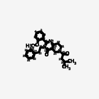 COc1ccccc1-c1nc2c(c(=O)n1CCc1ccccc1)CN(C(=O)CC(C)C)CC2